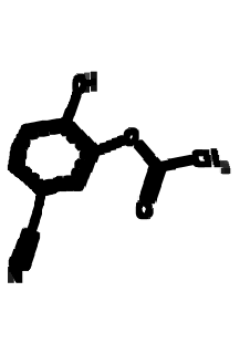 CC(=O)Oc1cc(C#N)ccc1O